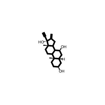 C#C[C@@]1(O)C(=C)CC2C3C(CC[C@@]21C)[C@@]1(C)CC[C@H](O)C[C@H]1C[C@@H]3O